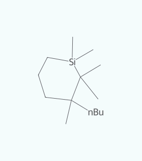 CCCCC1(C)CCC[Si](C)(C)C1(C)C